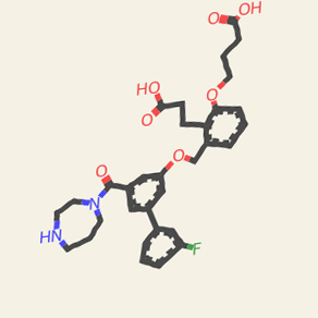 O=C(O)CCCOc1cccc(COc2cc(C(=O)N3CCCNCC3)cc(-c3cccc(F)c3)c2)c1CCC(=O)O